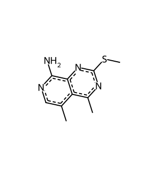 CSc1nc(C)c2c(C)cnc(N)c2n1